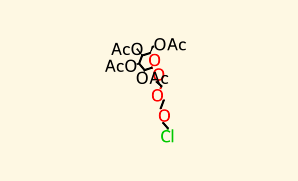 CC(=O)OC[C@H]1O[C@H](OCCOCCOCCCl)[C@H](OC(C)=O)[C@@H](OC(C)=O)[C@H]1OC(C)=O